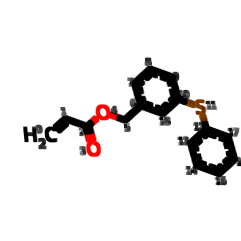 C=CC(=O)OCc1cccc(Sc2ccccc2)c1